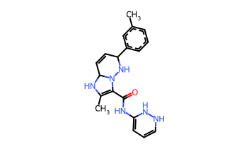 CC1=C(C(=O)NC2=CC=CNN2)N2NC(c3cccc(C)c3)C=CC2N1